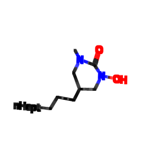 CCCCCCCCCCC1CN(C)C(=O)N(O)C1